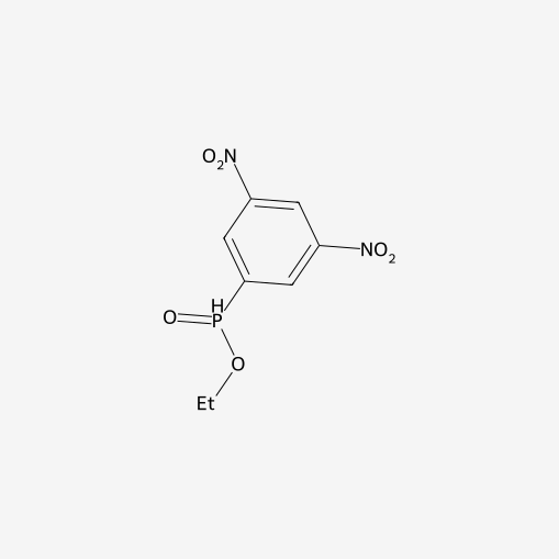 CCO[PH](=O)c1cc([N+](=O)[O-])cc([N+](=O)[O-])c1